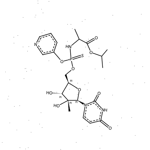 CC(C)OC(=O)C(C)NP(=S)(OC[C@H]1O[C@@H](n2ccc(=O)[nH]c2=O)[C@](C)(O)[C@@H]1O)Oc1cccnc1